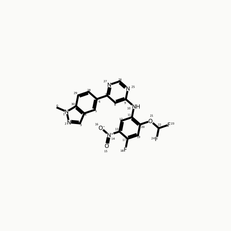 Cn1ncc2cc(-c3cc(Nc4cc([N+](=O)[O-])c(F)cc4OC(F)F)ncn3)ccc21